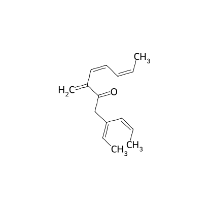 C=C(/C=C\C=C/C)C(=O)CC(/C=C\C)=C/C